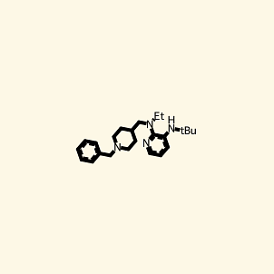 CCN(CC1CCN(Cc2ccccc2)CC1)c1ncccc1NC(C)(C)C